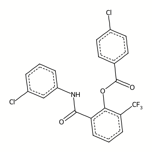 O=C(Oc1c(C(=O)Nc2cccc(Cl)c2)cccc1C(F)(F)F)c1ccc(Cl)cc1